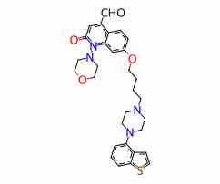 O=Cc1cc(=O)n(N2CCOCC2)c2cc(OCCCCN3CCN(c4cccc5sccc45)CC3)ccc12